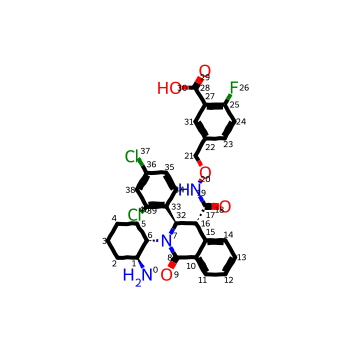 N[C@H]1CCCC[C@@H]1N1C(=O)c2ccccc2[C@@H](C(=O)NOCc2ccc(F)c(C(=O)O)c2)[C@@H]1c1ccc(Cl)cc1Cl